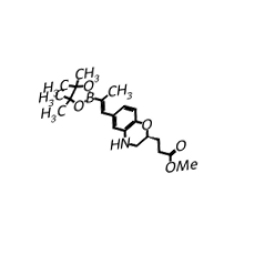 COC(=O)CC[C@H]1CNc2cc(/C=C(\C)B3OC(C)(C)C(C)(C)O3)ccc2O1